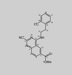 COC(=O)c1ccc2nc(C#N)nc(NCCc3ccccc3Cl)c2c1